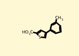 Cc1cccc(-c2csc(C(=O)O)c2)c1